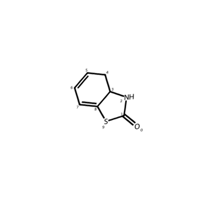 O=C1NC2CC=CC=C2S1